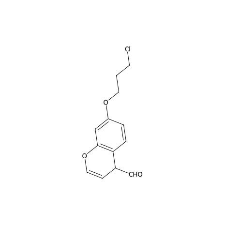 O=CC1C=COc2cc(OCCCCl)ccc21